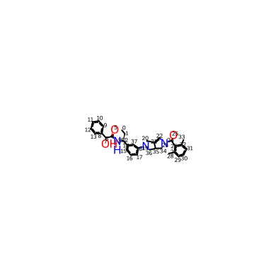 CC[C@H](NC(=O)C(O)c1ccccc1)c1cccc(N2CC3=CN(C(=O)c4c(C)cccc4C)CC3C2)c1